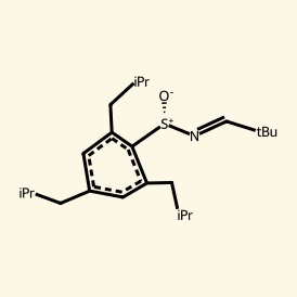 CC(C)Cc1cc(CC(C)C)c([S@+]([O-])/N=C/C(C)(C)C)c(CC(C)C)c1